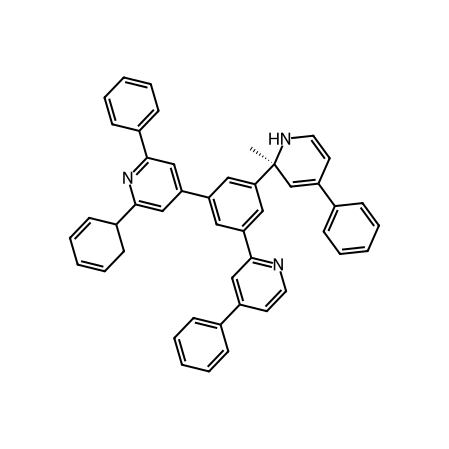 C[C@@]1(c2cc(-c3cc(-c4ccccc4)nc(C4C=CC=CC4)c3)cc(-c3cc(-c4ccccc4)ccn3)c2)C=C(c2ccccc2)C=CN1